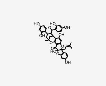 CC(C)=CCC12Oc3cc(O)c4c(c3C(=O)C1(O)Oc1cc(O)ccc12)OC1(C)CC(c2ccc(O)cc2O)C(C(=O)c2ccc(O)cc2O)C4C1